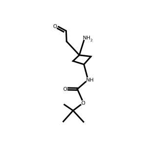 CC(C)(C)OC(=O)NC1CC(N)(CC=O)C1